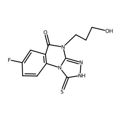 O=c1c2cc(F)ccc2n2c(=S)[nH]nc2n1CCCO